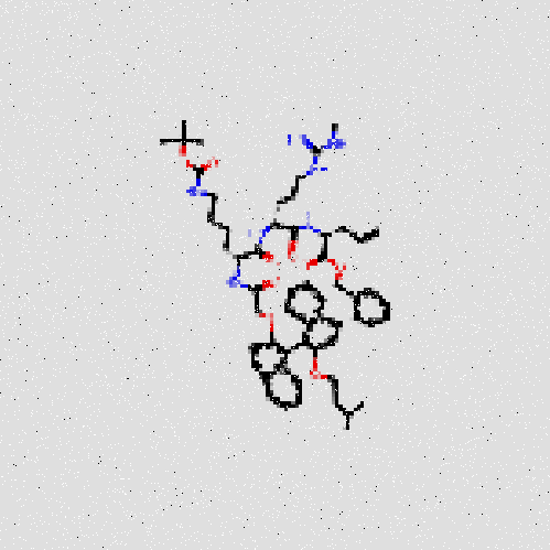 C=CC[C@H](NC(=O)[C@@H](CCCNC(=N)NC)NC(=O)[C@@H](CCCCNC(=O)OC(C)(C)C)NC(=O)COc1ccc2ccccc2c1-c1c(OCCC(C)C)ccc2ccccc12)C(=O)OCc1ccccc1